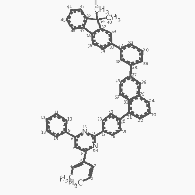 C/C=C\C(=C/C)c1cc(-c2ccccc2)nc(-c2ccc(-c3cccc4cc(-c5cccc(-c6ccc7c(c6)C(C)(C)c6ccccc6-7)c5)ccc34)cc2)n1